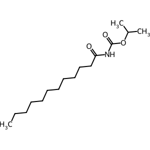 CCCCCCCCCCCC(=O)NC(=O)OC(C)C